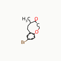 CC1CCc2cc(Br)ccc2OCCC1=O